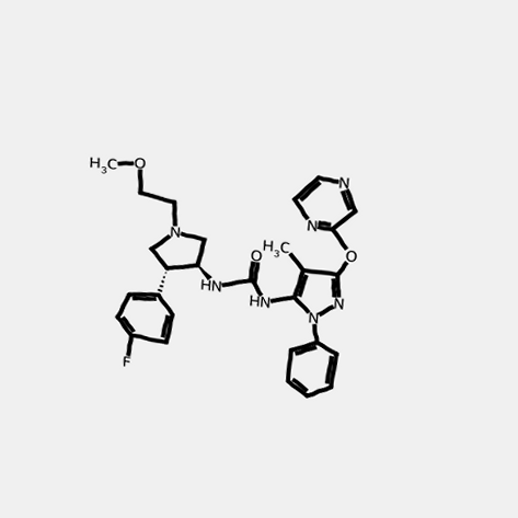 COCCN1C[C@@H](NC(=O)Nc2c(C)c(Oc3cnccn3)nn2-c2ccccc2)[C@H](c2ccc(F)cc2)C1